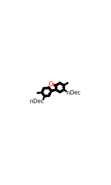 CCCCCCCCCCc1cc2c(cc1C)oc1cc(C)c(CCCCCCCCCC)cc12